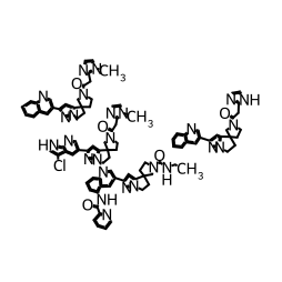 CCNC(=O)N1CCC2(CCn3nc(-c4cnc5cccc(NC(=O)c6ccccn6)c5c4)cc32)C1.Cn1ccnc1CC(=O)N1CCC2(CCn3nc(-c4cnc5[nH]cc(Cl)c5c4)cc32)C1.Cn1ccnc1CC(=O)N1CCC2(CCn3nc(-c4cnc5ccccc5c4)cc32)C1.O=C(Cc1ncc[nH]1)N1CCC2(CCn3nc(-c4cnc5ccccc5c4)cc32)C1